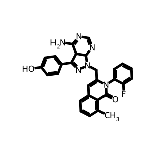 Cc1cccc2cc(CN3N=C(c4ccc(O)cc4)C4C(N)=NC=NC43)n(-c3ccccc3F)c(=O)c12